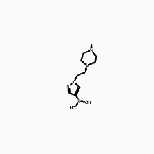 CN1CCN(CCn2cc(B(O)O)cn2)CC1